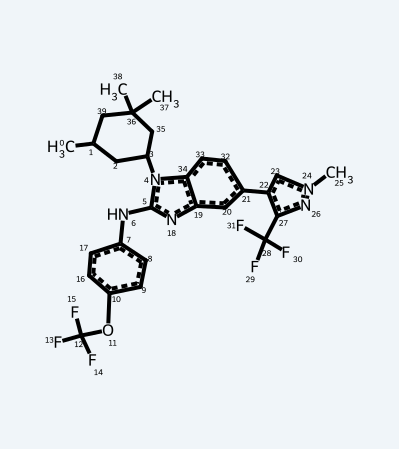 CC1CC(n2c(Nc3ccc(OC(F)(F)F)cc3)nc3cc(-c4cn(C)nc4C(F)(F)F)ccc32)CC(C)(C)C1